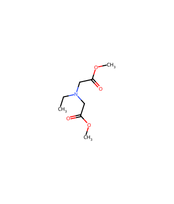 CCN(CC(=O)OC)CC(=O)OC